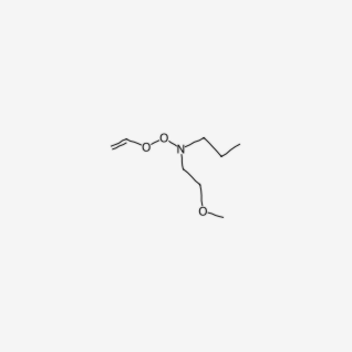 C=COON(CCC)CCOC